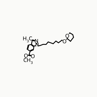 COC(=O)c1ccc2c(C)nn(CCCCCCCCOC3CCCCO3)c2c1